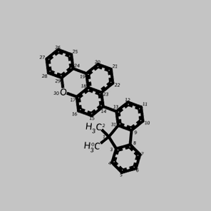 CC1(C)c2ccccc2-c2cccc(-c3ccc4c5c(cccc35)-c3ccccc3O4)c21